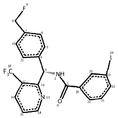 O=C(N[C@@H](c1ccc(CF)cc1)c1ncccc1C(F)(F)F)c1cccc(I)c1